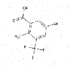 Cc1c(C(=O)O)cc(Br)cc1C(F)(F)F